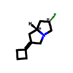 F[C@H]1C[C@H]2CC(=C3CCC3)CN2C1